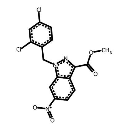 COC(=O)c1nn(Cc2ccc(Cl)cc2Cl)c2cc([N+](=O)[O-])ccc12